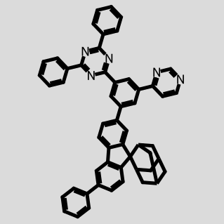 c1ccc(-c2ccc3c(c2)-c2ccc(-c4cc(-c5ccncn5)cc(-c5nc(-c6ccccc6)nc(-c6ccccc6)n5)c4)cc2C32C3CC4CC(C3)CC2C4)cc1